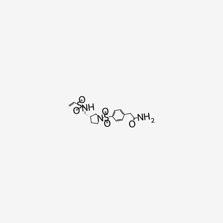 C=CS(=O)(=O)NC[C@H]1CCN(S(=O)(=O)c2ccc(CC(N)=O)cc2)C1